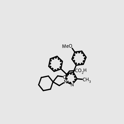 COc1cccc(-c2c(C)nn(CC3(COCC(=O)O)CCCCC3)c2-c2ccccc2)c1